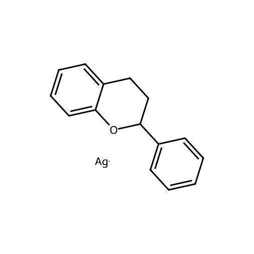 [Ag].c1ccc(C2CCc3ccccc3O2)cc1